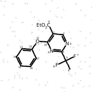 CCOC(=O)c1cnc(C(C)(F)F)nc1Oc1ccccc1